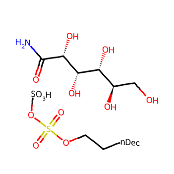 CCCCCCCCCCCCOS(=O)(=O)OS(=O)(=O)O.NC(=O)[C@H](O)[C@@H](O)[C@H](O)[C@H](O)CO